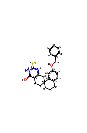 O=c1[nH]c(S)nc2c1CCC1(CCCc3ccc(OCc4ccccc4)cc31)C2